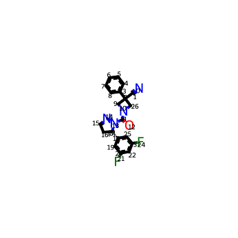 N#CC1(c2ccccc2)CN(C(=O)N2N=CC[C@H]2c2cc(F)cc(F)c2)C1